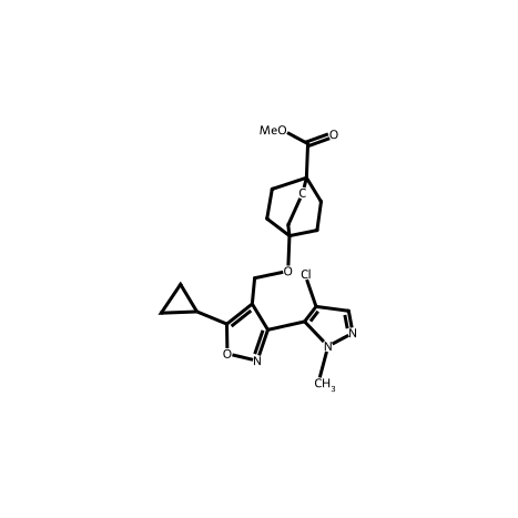 COC(=O)C12CCC(OCc3c(-c4c(Cl)cnn4C)noc3C3CC3)(CC1)CC2